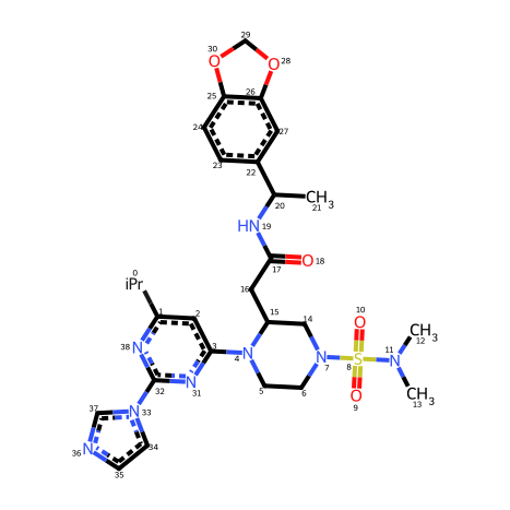 CC(C)c1cc(N2CCN(S(=O)(=O)N(C)C)CC2CC(=O)NC(C)c2ccc3c(c2)OCO3)nc(-n2ccnc2)n1